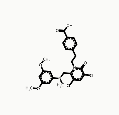 COc1cc(OC)cc(N(C)Cc2c(Cl)cc(Cl)c(=O)n2CCc2ccc(C(=O)O)cc2)c1